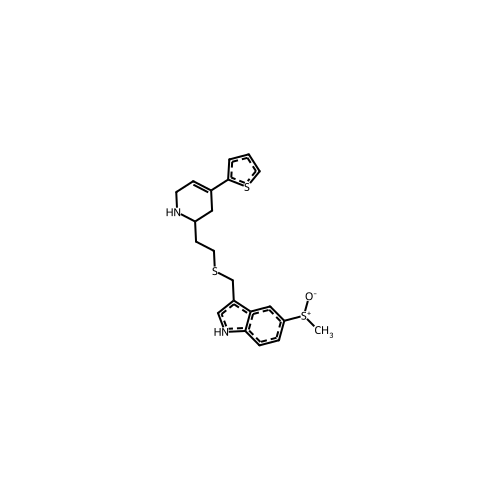 C[S+]([O-])c1ccc2[nH]cc(CSCCC3CC(c4cccs4)=CCN3)c2c1